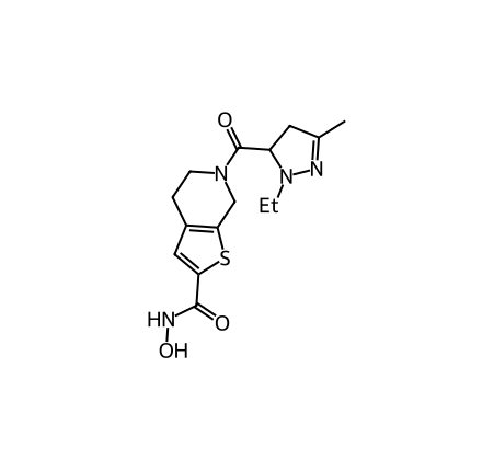 CCN1N=C(C)CC1C(=O)N1CCc2cc(C(=O)NO)sc2C1